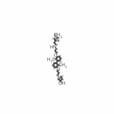 Cc1c(OCCCNCCc2cn(C)cn2)cccc1-c1cccc(OCCCN2CCC(O)C2)c1C